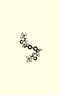 COC(=O)N[C@@H](C)C(=O)N1CCC[C@H]1C(=O)Nc1n[nH]c2ccc(-c3ccc(-c4cnc([C@@H]5CCCN5C(=O)[C@H](C)NC(=O)OC)[nH]4)cc3)cc12